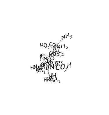 CC(C)C[C@H](NC(=O)[C@H](Cc1ccccc1)NC(=O)[C@H](CCC(=O)O)NC(=O)[C@@H](N)CCCCN)C(=O)N[C@@H](CCCNC(=N)N)C(=O)N[C@@H](CCCNC(=N)N)C(=O)N[C@H](C(=O)O)C(C)C